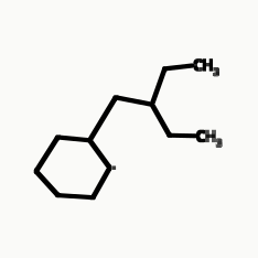 CCC(CC)CC1[CH]CCCC1